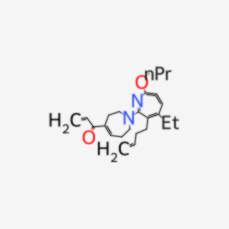 C=CCCC1=C(CC)C=C=C(OCCC)N=C1N1CCC=C(C(=O)C=C)CC1